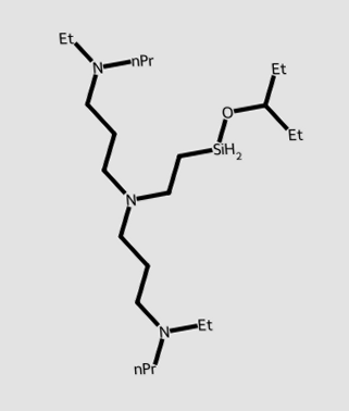 CCCN(CC)CCCN(CCCN(CC)CCC)CC[SiH2]OC(CC)CC